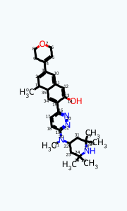 CC1C=C(C2=CCOCC2)C=C2C=C(O)C(c3ccc(N(C)C4CC(C)(C)NC(C)(C)C4)nn3)=CC21